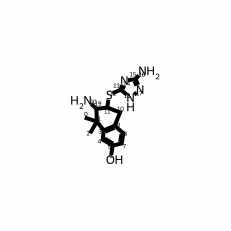 CC1(C)c2cc(O)ccc2CC(Sc2nc(N)n[nH]2)C1N